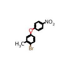 Cc1cc(Oc2ccc([N+](=O)[O-])cc2)ccc1Br